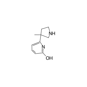 CC1(c2cccc(O)n2)CCNC1